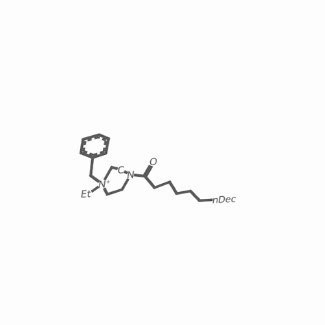 CCCCCCCCCCCCCCCC(=O)N1CC[N+](CC)(Cc2ccccc2)CC1